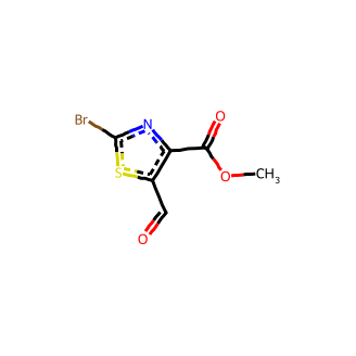 COC(=O)c1nc(Br)sc1C=O